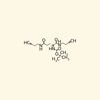 C#CCCNC(=O)CC[C@@H](NC(=O)OC(C)(C)C)C(=O)NCCC#C